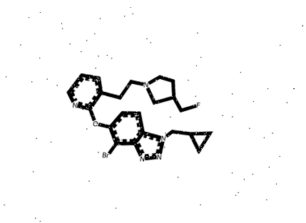 FCC1CCN(CCc2cccnc2Oc2ccc3c(nnn3CC3CC3)c2Br)C1